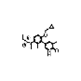 CCS(=O)(=O)Nc1ccc(OCC2CC2)c(-c2c[nH]c(=O)c(C)c2)c1C